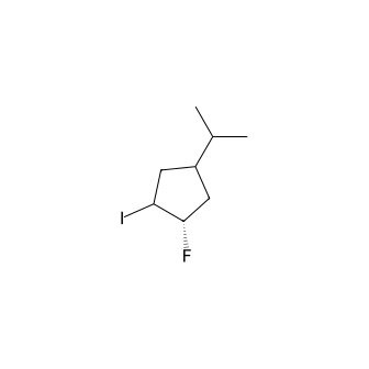 CC(C)C1CC(I)[C@@H](F)C1